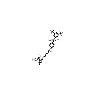 CC(C)(C)c1cc(NNc2ccc(OCCCCCCN(C(=O)O)C(C)(C)C)cc2)cc(C(C)(C)C)c1